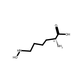 N[C@H](CCCCNO)C(=O)O